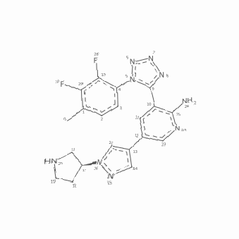 Cc1ccc(-n2nnnc2-c2cc(-c3cnn([C@H]4CCNC4)c3)cnc2N)c(F)c1F